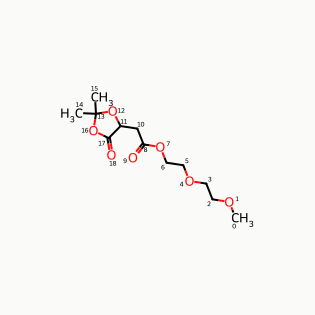 COCCOCCOC(=O)CC1OC(C)(C)OC1=O